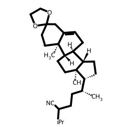 CC(C)C(C#N)CC[C@@H](C)[C@H]1CC[C@H]2[C@@H]3CC=C4CC5(C[CH][C@]4(C)[C@H]3CC[C@]12C)OCCO5